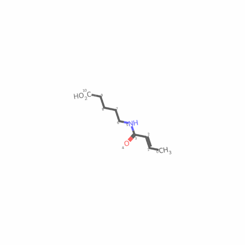 CC=CC(=O)NCCCCC(=O)O